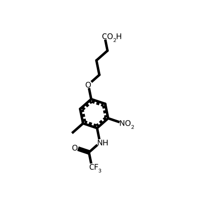 Cc1cc(OCCCC(=O)O)cc([N+](=O)[O-])c1NC(=O)C(F)(F)F